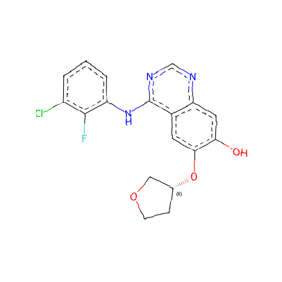 Oc1cc2ncnc(Nc3cccc(Cl)c3F)c2cc1O[C@@H]1CCOC1